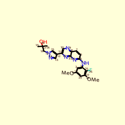 COc1cc(Nc2ccc3ncc(-c4cnn(CC(C)(C)O)c4)nc3n2)c(F)c(OC)c1